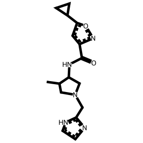 CC1CN(Cc2ncc[nH]2)CC1NC(=O)c1cc(C2CC2)on1